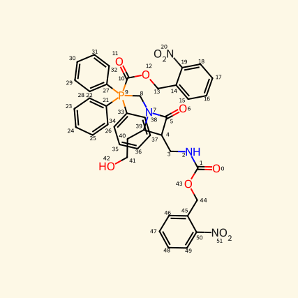 O=C(NCC1C(=O)N(CP(C(=O)OCc2ccccc2[N+](=O)[O-])(c2ccccc2)(c2ccccc2)c2ccccc2)C1CCO)OCc1ccccc1[N+](=O)[O-]